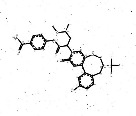 CO[C@@H](C)CC(C(=O)Nc1ccc(C(N)=O)cc1)n1cc2c(cc1=O)-c1cc(Cl)ccc1C[C@@H](C(F)(F)F)CO2